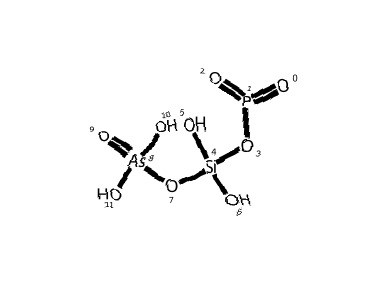 O=P(=O)O[Si](O)(O)O[As](=O)(O)O